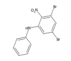 O=[N+]([O-])c1c(Br)cc(Br)cc1Nc1ccccc1